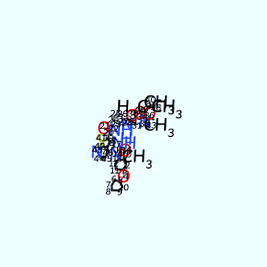 Cc1cc(Oc2ccccc2)ccc1N1C(=O)Nc2c(C(=O)N[C@@H]3CCC[C@H]3NC(=O)CN(C)C(=O)OC(C)(C)C)sc3nccc1c23